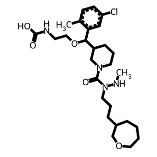 CNN(CCCC1CCCCOC1)C(=O)N1CCCC(C(OCCNC(=O)O)c2cc(Cl)ccc2C)C1